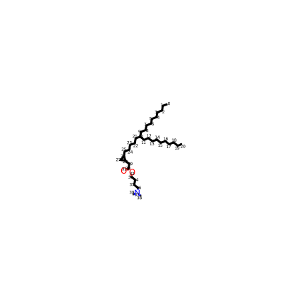 CCCCCCCCCCC(CCCCCCCCCC)CCCCCC1CC1CC(=O)OCCCCN(C)C